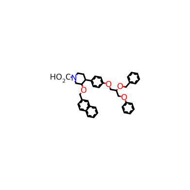 O=C(O)N1CCC(c2ccc(OCC(COc3ccccc3)OCc3ccccc3)cc2)C(OCc2ccc3ccccc3c2)C1